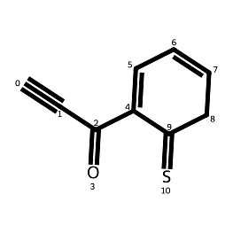 C#CC(=O)C1=CC=CCC1=S